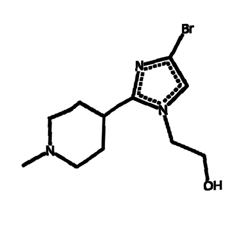 CN1CCC(c2nc(Br)cn2CCO)CC1